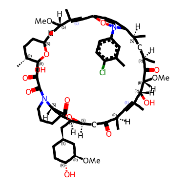 CO[C@H]1C[C@@H]2CC[C@@H](C)[C@@](O)(O2)C(=O)C(=O)N2CCCC3[C@H]2C(=O)O[C@@H](CC(=O)[C@H](C)/C=C(\C)[C@@H](O)[C@@H](OC)C(=O)[C@H](C)C[C@H](C)C2C=CC(/C=C/1C)ON2c1ccc(Cl)c(C)c1)[C@H]3C[C@@H]1CC[C@@H](O)[C@H](OC)C1